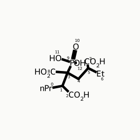 CCCC(C(=O)O)C(CC(CC)C(=O)O)(C(=O)O)P(=O)(O)O